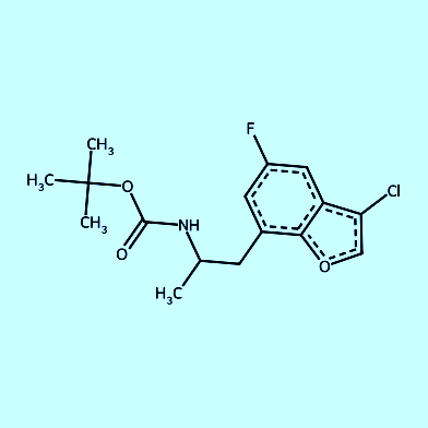 CC(Cc1cc(F)cc2c(Cl)coc12)NC(=O)OC(C)(C)C